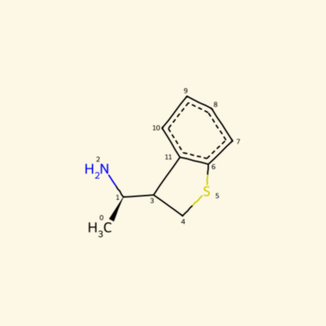 C[C@@H](N)C1CSc2ccccc21